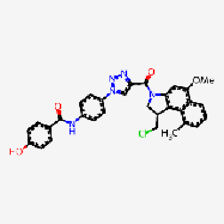 COc1cc2c(c3c(C)cccc13)C(CCl)CN2C(=O)c1cn(-c2ccc(NC(=O)c3ccc(O)cc3)cc2)nn1